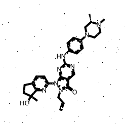 C=CCn1c(=O)c2cnc(Nc3ccc(N4CCN(C)[C@H](C)C4)cc3)nc2n1-c1ccc2c(n1)C(C)(O)CC2